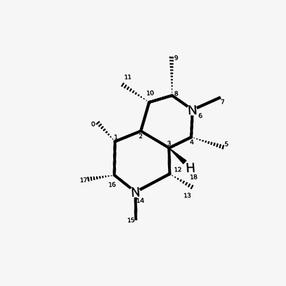 C[C@@H]1C2[C@H]([C@@H](C)N(C)[C@@H](C)[C@H]2C)[C@H](C)N(C)[C@@H]1C